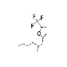 CCCCC(C)Cc1ccc(C(F)(F)F)o1